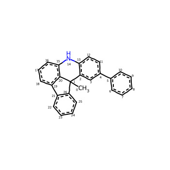 CC12c3cc(-c4ccccc4)ccc3Nc3cccc(c31)-c1ccccc12